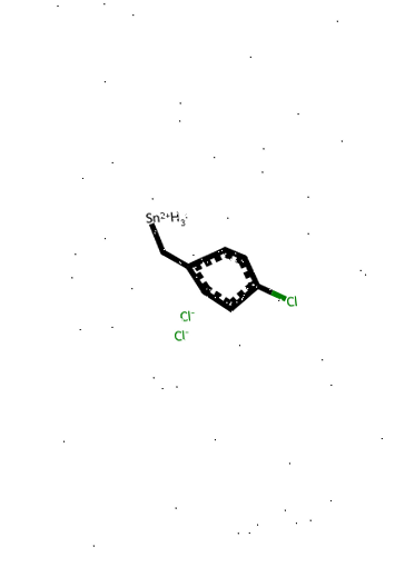 Clc1ccc([CH2][SnH3+2])cc1.[Cl-].[Cl-]